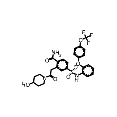 NC(=O)c1ccc(S(=O)(=O)Nc2ccccc2Oc2ccc(OC(F)(F)F)cc2)cc1CC(=O)N1CCC(O)CC1